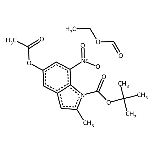 CC(=O)Oc1cc([N+](=O)[O-])c2c(c1)cc(C)n2C(=O)OC(C)(C)C.CCOC=O